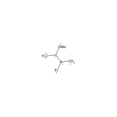 [CH2]CN(C)C(C)OC